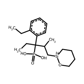 CCc1ccccc1C(CC)(C(C)C[SiH]1CCCCO1)P(=O)(O)O